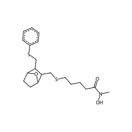 CN(O)C(=O)CCCCSCC1C2CCC(O2)C1CSc1ccccc1